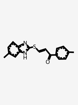 Cc1ccc(C(=O)/C=C/Sc2nc3ccc(C)cc3[nH]2)cc1